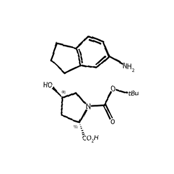 CC(C)(C)OC(=O)N1C[C@H](O)C[C@H]1C(=O)O.Nc1ccc2c(c1)CCC2